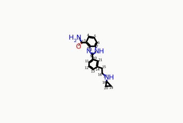 NC(=O)c1cccc2[nH]c(-c3cccc(CCNC4CC4)c3)nc12